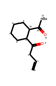 C=CCC(=O)C1CCCCC1C(=O)CCCC